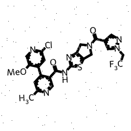 COc1cnc(Cl)cc1-c1cc(C)ncc1C(=O)Nc1nc2c(s1)CN(C(=O)c1cnn(CC(F)(F)F)c1)C2